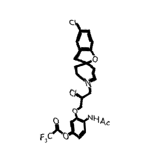 CC(=O)Nc1ccc(OC(=O)C(F)(F)F)cc1OCC(Cl)CN1CCC2(CC1)Cc1cc(Cl)ccc1O2